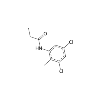 CCC(=O)Nc1cc(Cl)cc(Cl)c1C